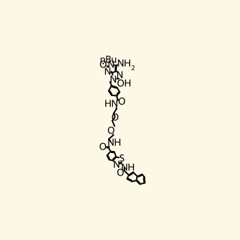 CCCCOc1nc(N)c2nc(O)n(Cc3ccc(C(=O)NCCOCCOCCNC(=O)c4ccc5nc(NC(=O)c6ccc7ccccc7c6)sc5c4)cc3)c2n1